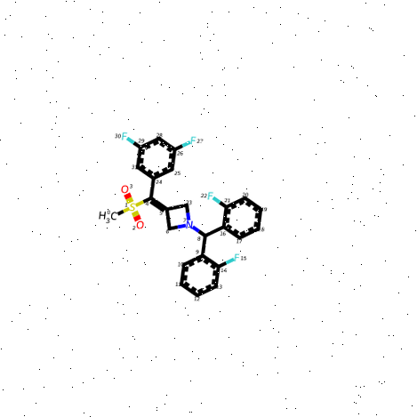 CS(=O)(=O)C(=C1CN(C(c2ccccc2F)c2ccccc2F)C1)c1cc(F)cc(F)c1